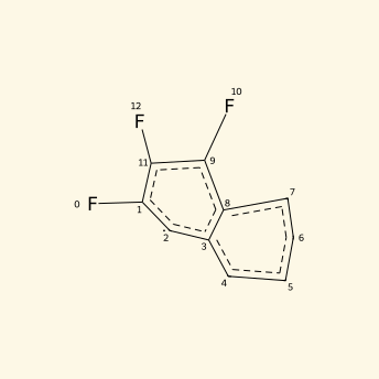 Fc1[c]c2ccccc2c(F)c1F